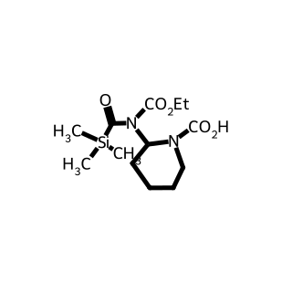 CCOC(=O)N(C(=O)[Si](C)(C)C)C1CCCCN1C(=O)O